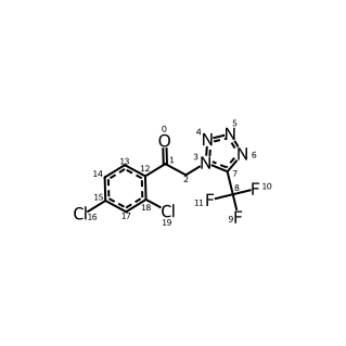 O=C(Cn1nnnc1C(F)(F)F)c1ccc(Cl)cc1Cl